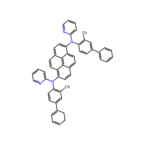 N#Cc1cc(C2=CC=CCC2)ccc1N(c1ccccn1)c1ccc2ccc3c(N(c4ccccn4)c4ccc(-c5ccccc5)cc4C#N)ccc4ccc1c2c43